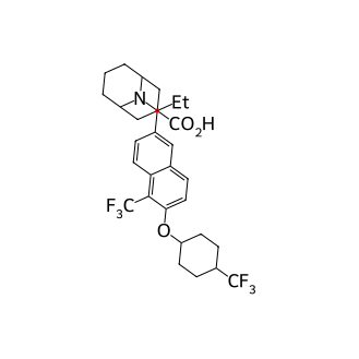 CCC(c1ccc2c(C(F)(F)F)c(OC3CCC(C(F)(F)F)CC3)ccc2c1)N1C2CCCC1CC(C(=O)O)C2